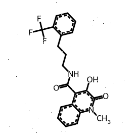 Cn1c(=O)c(O)c(C(=O)NCCCc2ccccc2C(F)(F)F)c2ccccc21